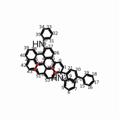 C1=CC(Nc2ccccc2)(c2ccc(-c3ccccc3)cc2)CC=C1c1ccc(Nc2ccccc2)c(-c2cccc3ccccc23)c1-c1cccc2ccccc12